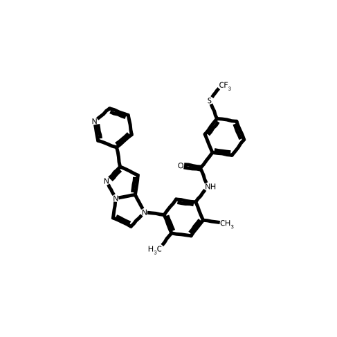 Cc1cc(C)c(-n2ccn3nc(-c4cccnc4)cc23)cc1NC(=O)c1cccc(SC(F)(F)F)c1